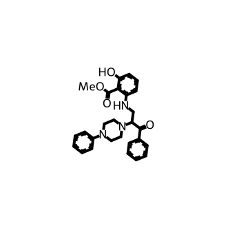 COC(=O)c1c(O)cccc1NCC(C(=O)c1ccccc1)N1CCN(c2ccccc2)CC1